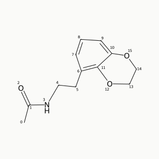 CC(=O)NCCc1cccc2c1OCCO2